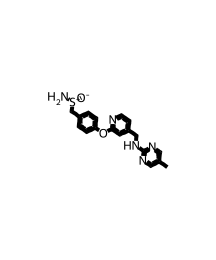 Cc1cnc(NCc2ccnc(Oc3ccc(C[S+](N)[O-])cc3)c2)nc1